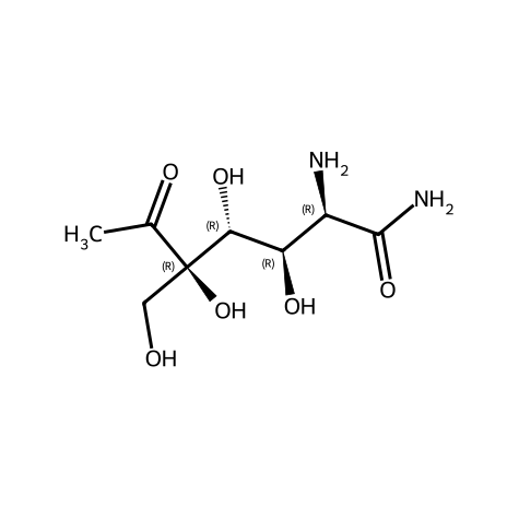 CC(=O)[C@@](O)(CO)[C@H](O)[C@H](O)[C@@H](N)C(N)=O